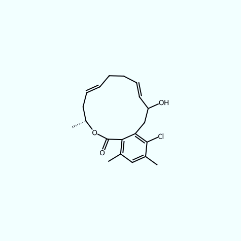 Cc1cc(C)c2c(c1Cl)CC(O)/C=C/CC/C=C/C[C@@H](C)OC2=O